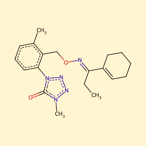 CCC(=NOCc1c(C)cccc1-n1nnn(C)c1=O)C1=CCCCC1